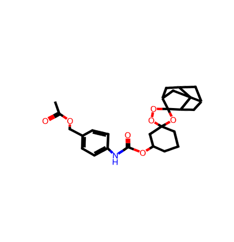 CC(=O)OCc1ccc(NC(=O)OC2CCCC3(C2)OOC2(O3)C3CC4CC(C3)CC2C4)cc1